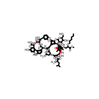 CCCCCCOC(CNC1(C)CC(OC2C(Oc3c4cc5cc3Oc3ccc(cc3Cl)[C@@H](O)[C@@H]3NC(=O)C(NC(=O)C5NC(=O)C(CC(N)=O)NC(=O)[C@@H](NC(=O)[C@H](N)CC(C)C)C(O)c5ccc(c(Cl)c5)O4)c4ccc(O)c(c4)-c4c(O)cc(O)cc4C(C(=O)O)NC3=O)OC(CO)C(O)C2O)OC(C)C1O)C(=O)OC